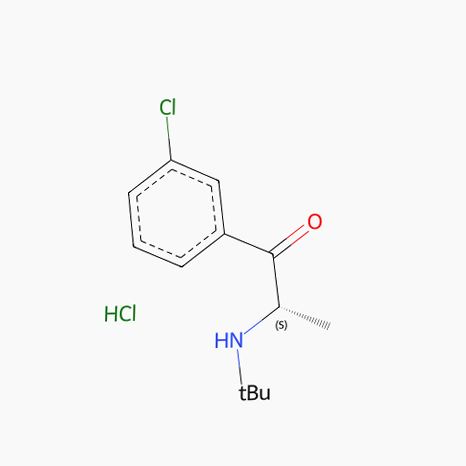 C[C@H](NC(C)(C)C)C(=O)c1cccc(Cl)c1.Cl